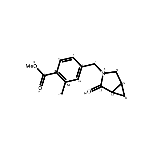 COC(=O)c1ccc(CN2CC3CC3C2=O)cc1C